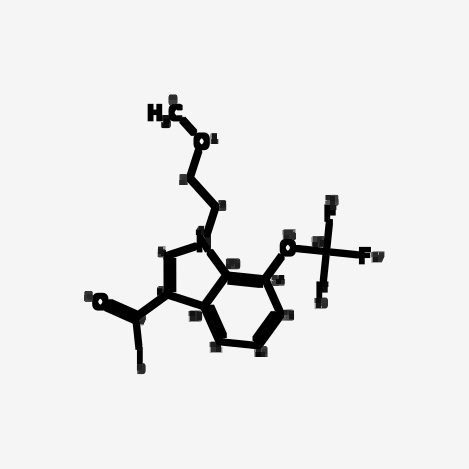 COCCn1cc(C(=O)I)c2cccc(OC(F)(F)F)c21